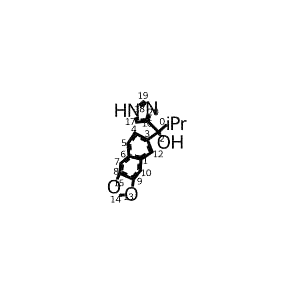 CC(C)C(O)(c1ccc2cc3c(cc2c1)OCO3)c1c[nH]cn1